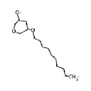 [CH2]CCCCCCCCCOC1COCC([O])C1